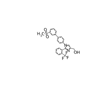 CS(=O)(=O)c1cccc(-c2ccc(-n3cc(CO)nc3-c3ccccc3C(F)(F)F)cc2)c1